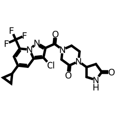 O=C1CC(N2CCN(C(=O)c3nn4c(C(F)(F)F)cc(C5CC5)cc4c3Cl)CC2=O)CN1